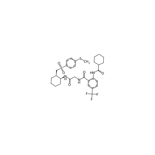 CSc1ccc(S(=O)(=O)C[C@@H]2CCCC[C@@H]2NC(=O)CNC(=O)c2cc(C(F)(F)F)ccc2NC(=O)C2CCCCC2)cc1